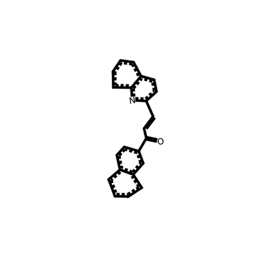 O=C(C=Cc1ccc2ccccc2n1)c1ccc2ccccc2c1